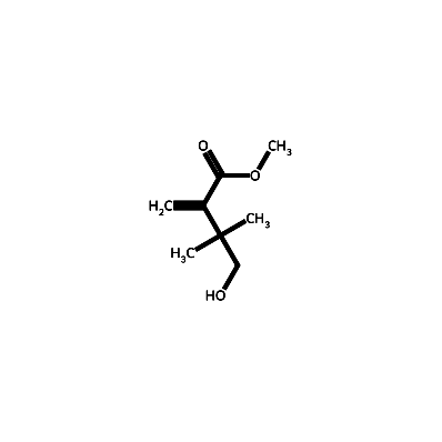 C=C(C(=O)OC)C(C)(C)CO